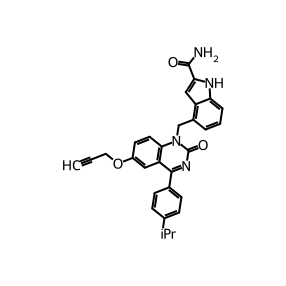 C#CCOc1ccc2c(c1)c(-c1ccc(C(C)C)cc1)nc(=O)n2Cc1cccc2[nH]c(C(N)=O)cc12